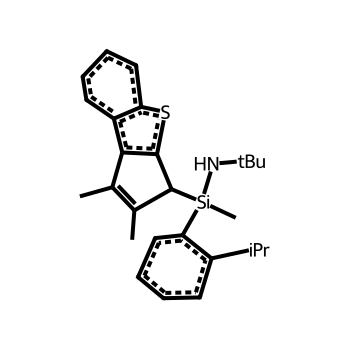 CC1=C(C)C([Si](C)(NC(C)(C)C)c2ccccc2C(C)C)c2sc3ccccc3c21